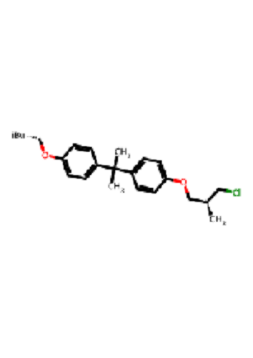 CC[C@@H](C)COc1ccc(C(C)(C)c2ccc(OC[C@H](C)CCl)cc2)cc1